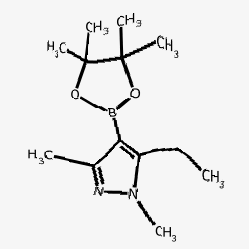 CCc1c(B2OC(C)(C)C(C)(C)O2)c(C)nn1C